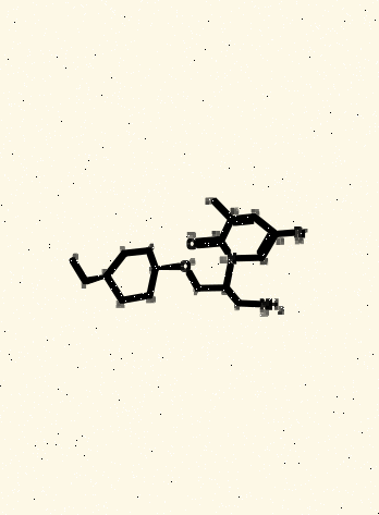 CC[C@H]1CC[C@@H](OCC(CN)n2cc(Br)cc(C)c2=O)CC1